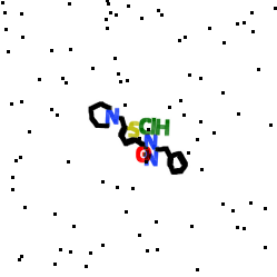 Cl.c1ccc(Cc2noc(-c3ccc(CN4CCCCCC4)s3)n2)cc1